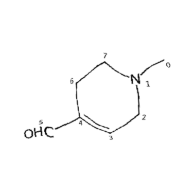 CN1CC=C(C=O)CC1